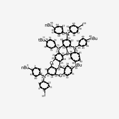 CCCCc1ccc(N(c2ccc(I)cc2)c2cc3c4c(c2)Oc2cc5c(cc2B4c2cc(C)ccc2O3)B2c3cc(C(C)(C)C)ccc3N(c3ccc(CCCC)cc3)c3cc(N(c4ccc(I)cc4)c4ccc(CCCC)cc4)cc(c32)N5c2ccc(C(C)(C)C)cc2)cc1